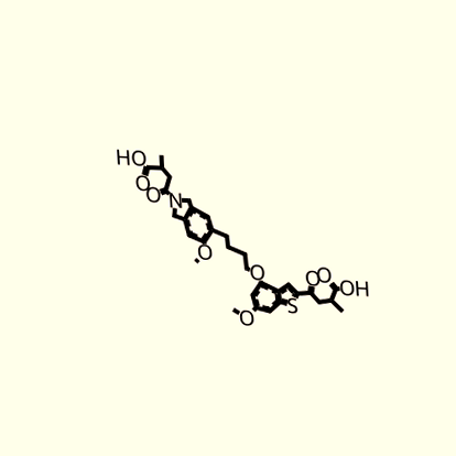 COc1cc(OCCCCc2cc3c(cc2OC)CN(C(=O)CC(C)C(=O)O)C3)c2cc(C(=O)CC(C)C(=O)O)sc2c1